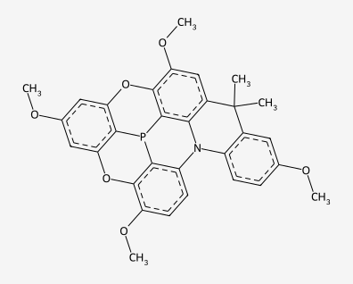 COc1cc2c3c(c1)Oc1c(OC)cc4c5c1P3c1c(ccc(OC)c1O2)N5c1ccc(OC)cc1C4(C)C